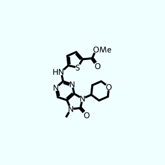 COC(=O)c1ccc(Nc2ncc3c(n2)n(C2CCOCC2)c(=O)n3C)s1